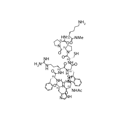 CNC(=O)[C@H](CCCCN)NC(=O)[C@@H]1CCCN1C(=O)[C@@H]1CCCN1C(=O)[C@H](CS)NC(=O)[C@H](Cc1c[nH]c2ccccc12)NC(=O)[C@H](CCCNC(=N)N)NC(=O)[C@@H](Cc1ccccc1)NC(=O)[C@H](Cc1c[nH]cn1)NC(=O)[C@H](CCS)NC(C)=O